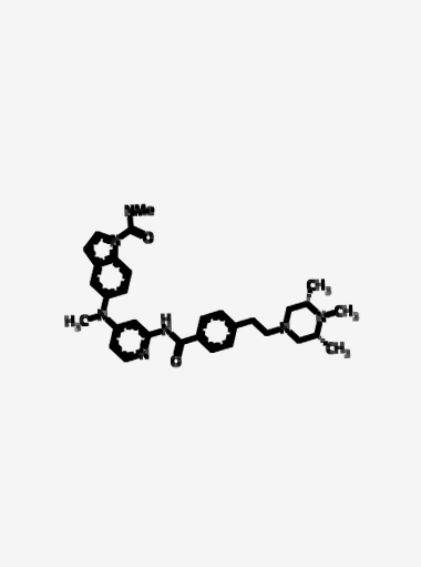 CNC(=O)n1ccc2cc(N(C)c3ccnc(NC(=O)c4ccc(CCN5C[C@@H](C)N(C)[C@@H](C)C5)cc4)c3)ccc21